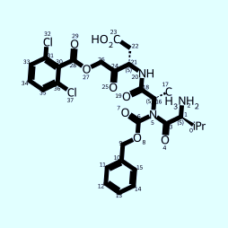 CC(C)[C@H](N)C(=O)N(C(=O)OCc1ccccc1)[C@@H](C)C(=O)N[C@@H](CC(=O)O)C(=O)COC(=O)c1c(Cl)cccc1Cl